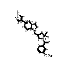 COc1cccc(C(=O)N2CC(Cn3ccc4nc(-c5cn[nH]c5)ccc43)CC2(C)C)c1